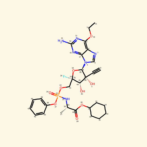 C#C[C@]1(O)[C@H](n2cnc3c(OCC)nc(N)nc32)O[C@](F)(COP(=O)(N[C@@H](C)C(=O)OC2CCCCC2)Oc2ccccc2)[C@H]1O